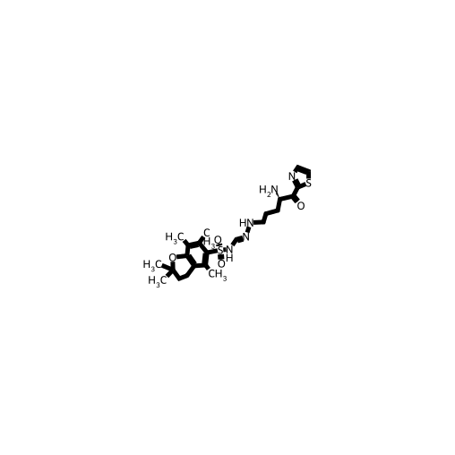 Cc1c(C)c(S(=O)(=O)NC=NNCCC[C@H](N)C(=O)c2nccs2)c(C)c2c1OC(C)(C)CC2